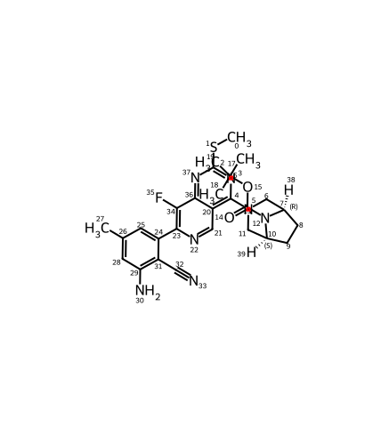 CSc1nc(N2C[C@H]3CC[C@@H](C2)N3C(=O)OC(C)(C)C)c2cnc(-c3cc(C)cc(N)c3C#N)c(F)c2n1